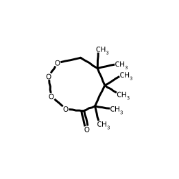 CC1(C)COOOOC(=O)C(C)(C)C1(C)C